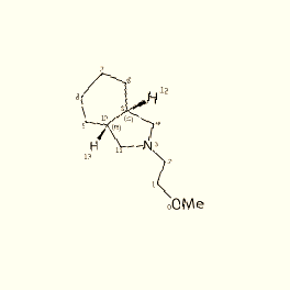 COCCN1C[C@H]2CCCC[C@H]2C1